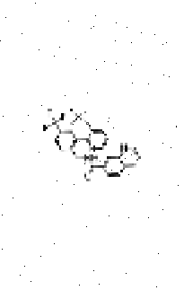 CC1(C)C[C@H]1c1cccnc1-c1cc(C(F)(F)F)ccc1CNC(=O)c1ccc2cccnc2c1